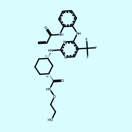 C=CC(=O)Nc1ccccc1Nc1nc(N[C@H]2CCC[C@@H](C(=O)NOCCO)C2)ncc1C(F)(F)F